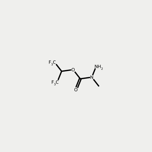 CN(N)C(=O)OC(C(F)(F)F)C(F)(F)F